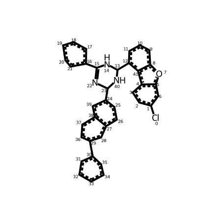 Clc1ccc2c(c1)oc1cccc(C3NC(c4ccccc4)=NC(c4ccc5cc(-c6ccccc6)ccc5c4)N3)c12